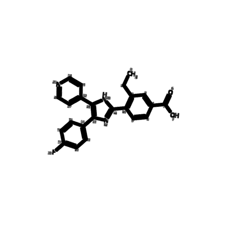 CCc1cc(C(=O)O)ccc1-c1nc(-c2ccc(F)cc2)c(-c2ccncc2)[nH]1